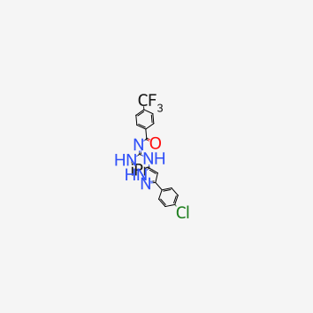 CC(C)N/C(=N/C(=O)c1ccc(C(F)(F)F)cc1)Nc1cc(-c2ccc(Cl)cc2)n[nH]1